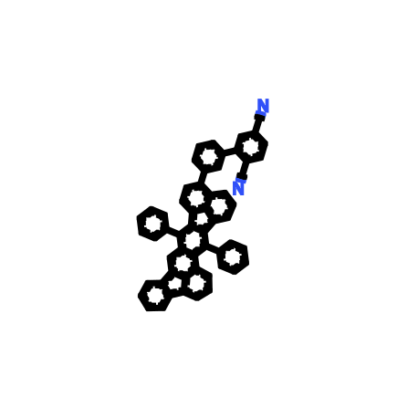 N#Cc1ccc(C#N)c(-c2cccc(-c3ccc4c5c(-c6ccccc6)c6cc7c8ccccc8c8cccc(c6c(-c6ccccc6)c5c5cccc3c45)c87)c2)c1